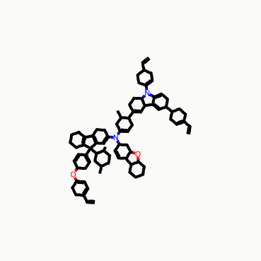 C=CC1=CC=C(OC2C=CC(C3(C4CC(C)CCC4C)C4=C(CCC(N(C5=CCC(C6=CC7C8=CC(C9CC=C(C=C)CC9)CC=C8N(C8=CCC(C=C)CC8)C7CC6)C(C)C5)C5C=CC6C(C5)OC5CCCCC56)=C4)C4=C3CCCC4)=CC2)CC1